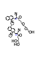 N#C/C(=C\c1ccc2ccccc2c1N1CCC(c2cccc3c(N4CCCC4)c(/C=C(\C#N)C(=O)CCC(O)CO)ccc23)C1)C(=O)CCCOCCOCCO